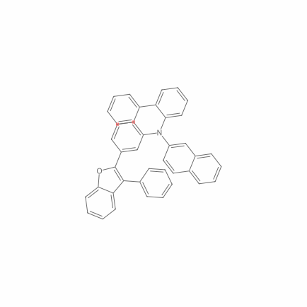 c1ccc(-c2ccccc2N(c2cccc(-c3oc4ccccc4c3-c3ccccc3)c2)c2ccc3ccccc3c2)cc1